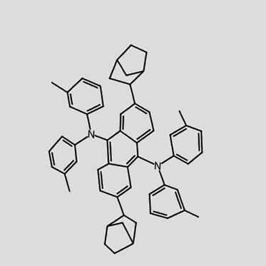 Cc1cccc(N(c2cccc(C)c2)c2c3ccc(C4CC5CCC4C5)cc3c(N(c3cccc(C)c3)c3cccc(C)c3)c3ccc(C4CC5CCC4C5)cc23)c1